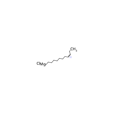 CC/C=C\CCCCCCC[CH2][Mg][Cl]